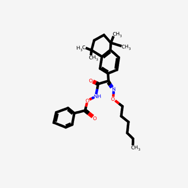 CCCCCCON=C(C(=O)NOC(=O)c1ccccc1)c1ccc2c(c1)C(C)(C)CCC2(C)C